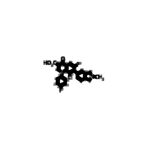 CN1Cc2ccc(-c3c(F)cc4c(=O)c(C(=O)O)cn(-c5ccc(F)cc5)c4c3Cl)cc2C1